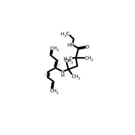 C=C/C=C\C(=C/C=C)NC(C)(C)CC(C)(C)C(=O)NCC